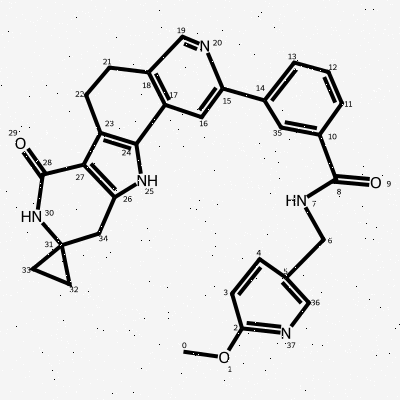 COc1ccc(CNC(=O)c2cccc(-c3cc4c(cn3)CCc3c-4[nH]c4c3C(=O)NC3(CC3)C4)c2)cn1